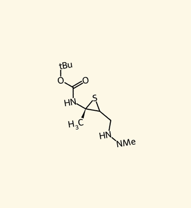 CNNCC1S[C@@]1(C)NC(=O)OC(C)(C)C